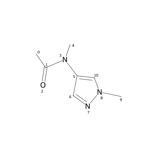 CC(=O)N(C)c1cnn(C)c1